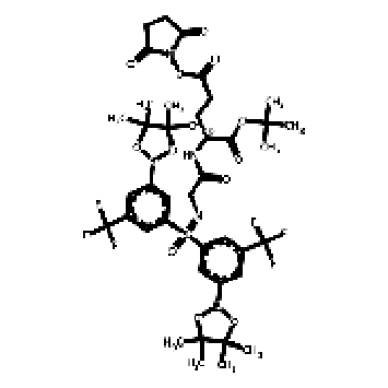 CC(C)(C)OC(=O)[C@H](CCC(=O)ON1C(=O)CCC1=O)NC(=O)CN=S(=O)(c1cc(B2OC(C)(C)C(C)(C)O2)cc(C(F)(F)F)c1)c1cc(B2OC(C)(C)C(C)(C)O2)cc(C(F)(F)F)c1